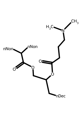 CCCCCCCCCCCC(COC(=O)C(CCCCCCCCC)CCCCCCCCC)OC(=O)CCCN(C)C